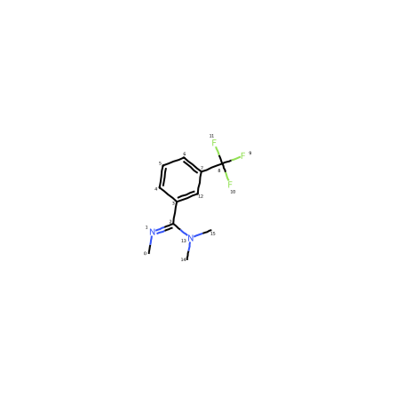 C/N=C(/c1cccc(C(F)(F)F)c1)N(C)C